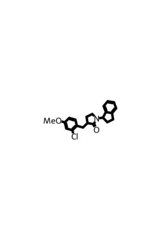 COc1ccc(CC2CCN(C3CCc4ccccc43)C2=O)c(Cl)c1